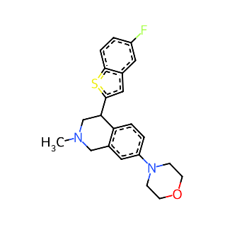 CN1Cc2cc(N3CCOCC3)ccc2C(c2cc3cc(F)ccc3s2)C1